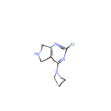 Clc1nc2c(c(N3CCC3)n1)CNC2